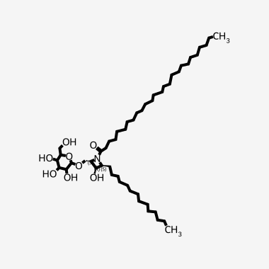 CCCCCCCCCCCCCCCCCCCCCCCCCC(=O)N1[C@@H](CCCCCCCCCCCCCC)[C@@H](O)[C@@H]1COC1OC(CO)C(O)C(O)C1O